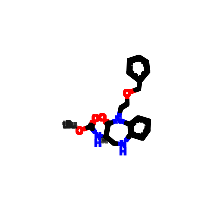 CC(C)(C)OC(=O)N[C@@H]1CNc2ccccc2N(CCOCc2ccccc2)C1=O